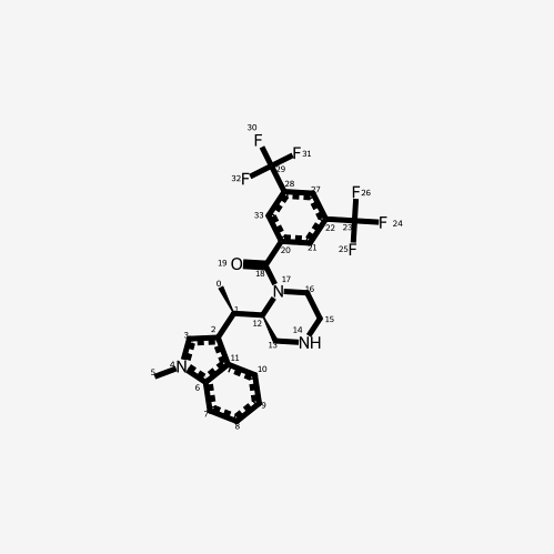 C[C@H](c1cn(C)c2ccccc12)[C@@H]1CNCCN1C(=O)c1cc(C(F)(F)F)cc(C(F)(F)F)c1